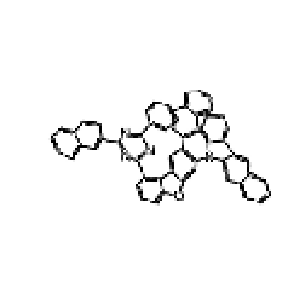 c1ccc(-c2nc(-c3ccc4ccccc4c3)nc(-c3cccc4oc5cc(-n6c7ccccc7c7cc8ccccc8cc76)c(-c6ccc7ccccc7c6)cc5c34)n2)cc1